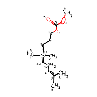 COC(=O)OCCC[Si](C)(C)C[SiH2]C=C(C)C